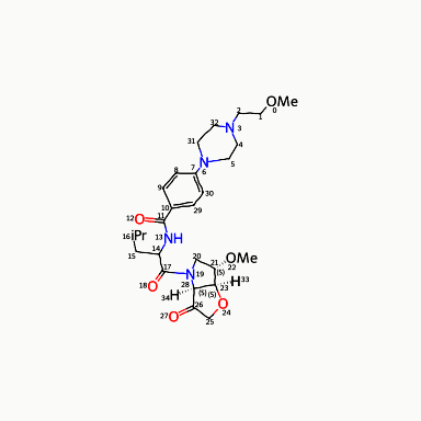 COCCN1CCN(c2ccc(C(=O)NC(CC(C)C)C(=O)N3C[C@H](OC)[C@H]4OCC(=O)[C@H]43)cc2)CC1